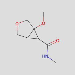 CNC(=O)C1C2COCC21OC